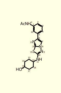 CC(=O)Nc1cccc(-c2cn3nc(NC4CCC(O)CC4)sc3n2)c1